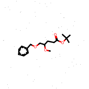 COC(CCC(=O)OC(C)(C)C)COCc1ccccc1